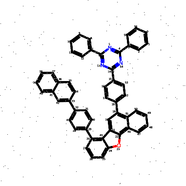 c1ccc(-c2nc(-c3ccccc3)nc(-c3ccc(-c4cc5c(oc6cccc(-c7ccc(-c8ccc9ccccc9c8)cc7)c65)c5ccccc45)cc3)n2)cc1